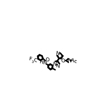 CC(=O)N1CC(Oc2ccncc2-c2cnn(-c3cc(NC(=O)c4cccc(C(F)(F)F)c4)ccc3C)c2)C1